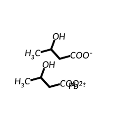 CC(O)CC(=O)[O-].CC(O)CC(=O)[O-].[Pb+2]